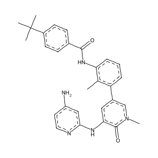 Cc1c(NC(=O)c2ccc(C(C)(C)C)cc2)cccc1-c1cc(Nc2cc(N)ccn2)c(=O)n(C)c1